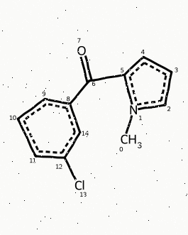 Cn1cccc1C(=O)c1cccc(Cl)c1